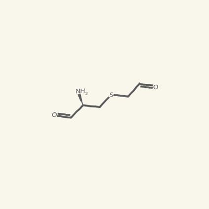 N[C@H](C=O)CSC[C]=O